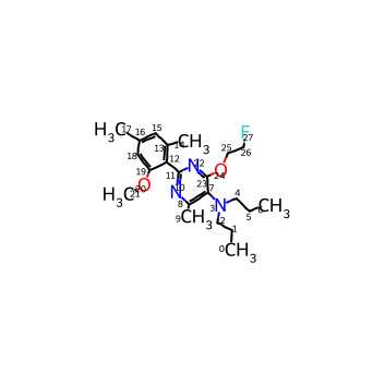 CCCN(CCC)c1c(C)nc(-c2c(C)cc(C)cc2OC)nc1OCCF